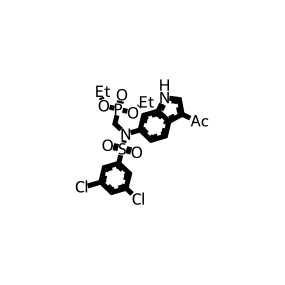 CCOP(=O)(CN(c1ccc2c(C(C)=O)c[nH]c2c1)S(=O)(=O)c1cc(Cl)cc(Cl)c1)OCC